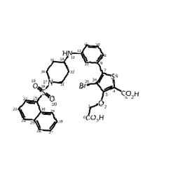 O=C(O)COc1c(C(=O)O)sc(-c2cccc(NC3CCN(S(=O)(=O)c4cccc5ccccc45)CC3)c2)c1Br